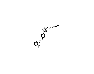 CCCCCCCCc1noc(-c2ccc(C[N]Cc3ccccc3OC)cc2)n1